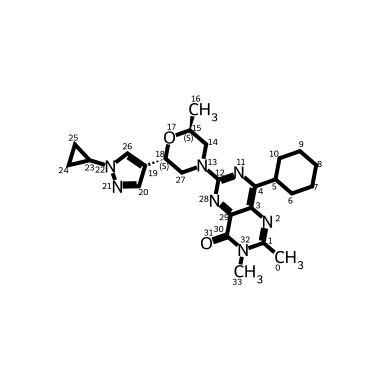 Cc1nc2c(C3CCCCC3)nc(N3C[C@H](C)O[C@@H](c4cnn(C5CC5)c4)C3)nc2c(=O)n1C